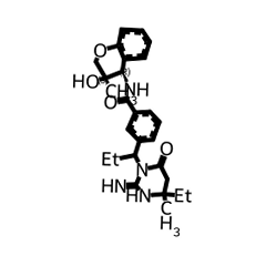 CCC(c1cccc(C(=O)N[C@@H]2c3ccccc3OC[C@@]2(C)O)c1)N1C(=N)NC(C)(CC)CC1=O